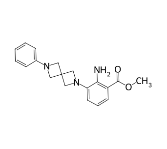 COC(=O)c1cccc(N2CC3(CN(c4ccccc4)C3)C2)c1N